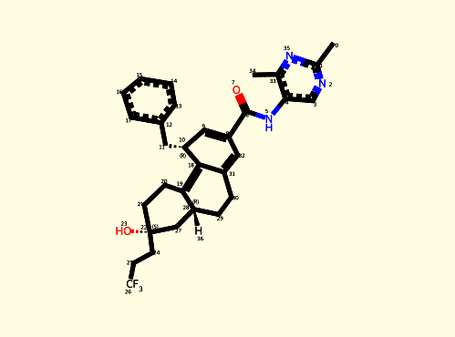 Cc1ncc(NC(=O)C2=C[C@@H](Cc3ccccc3)C3=C4CC[C@](O)(CCC(F)(F)F)C[C@H]4CCC3=C2)c(C)n1